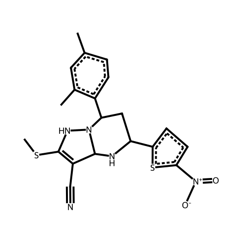 CSC1=C(C#N)C2NC(c3ccc([N+](=O)[O-])s3)CC(c3ccc(C)cc3C)N2N1